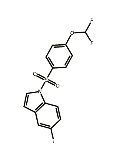 O=S(=O)(c1ccc(OC(F)F)cc1)n1ccc2cc(I)ccc21